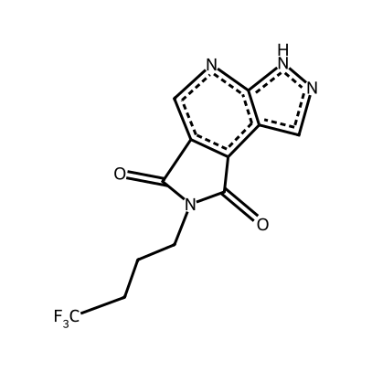 O=C1c2cnc3[nH]ncc3c2C(=O)N1CCCC(F)(F)F